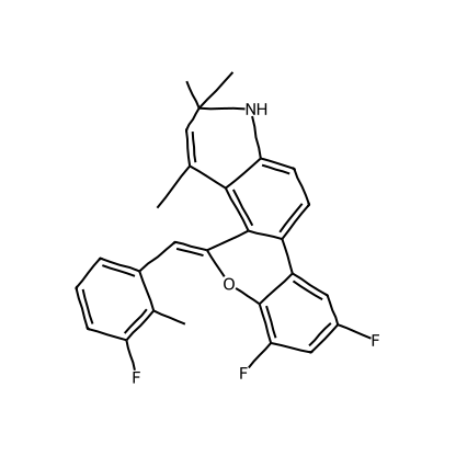 CC1=CC(C)(C)Nc2ccc3c(c21)/C(=C/c1cccc(F)c1C)Oc1c(F)cc(F)cc1-3